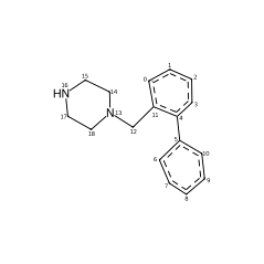 [c]1cccc(-c2ccccc2)c1CN1CCNCC1